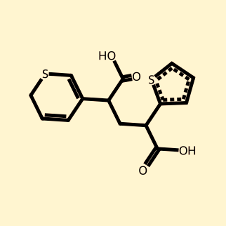 O=C(O)C(CC(C(=O)O)c1cccs1)C1=CSCC=C1